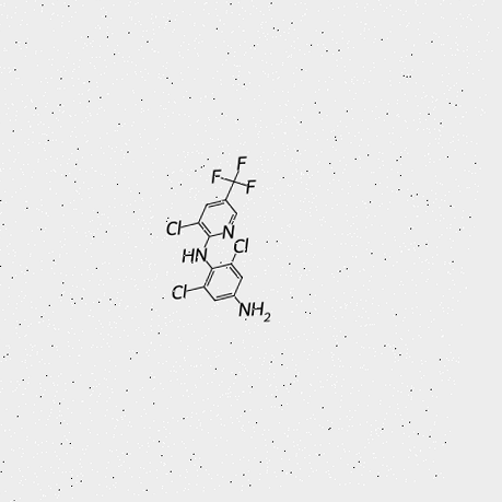 Nc1cc(Cl)c(Nc2ncc(C(F)(F)F)cc2Cl)c(Cl)c1